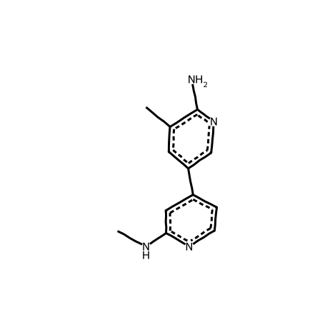 CNc1cc(-c2cnc(N)c(C)c2)ccn1